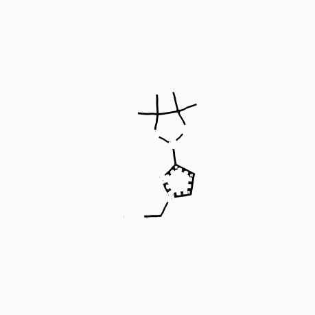 CCOC(=O)Cn1ccc(B2OC(C)(C)C(C)(C)O2)n1